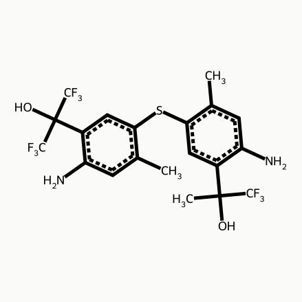 Cc1cc(N)c(C(C)(O)C(F)(F)F)cc1Sc1cc(C(O)(C(F)(F)F)C(F)(F)F)c(N)cc1C